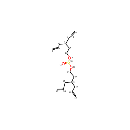 C=CCC(CC=C)CCOS(=O)OCCC(CC=C)CC=C